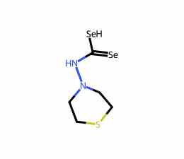 [Se]=C([SeH])NN1CCSCC1